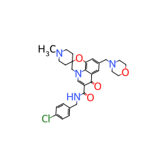 CN1CCC2(CC1)Cn1cc(C(=O)NCc3ccc(Cl)cc3)c(=O)c3cc(CN4CCOCC4)cc(c31)O2